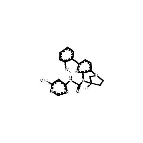 COc1cc(NC(=O)N2c3nc(-c4ccccc4C(F)(F)F)ccc3N3CC[C@H]2C3)ncn1